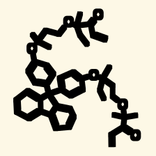 C=CC(=O)C(C)(C)OCCC(C)(CC)Oc1ccc(C2(c3ccc(OC(C)(C)CCOC(C)(CC)C(=O)C=C)cc3)c3ccccc3-c3ccccc32)cc1